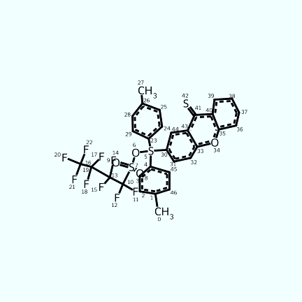 Cc1ccc(S(OS(=O)(=O)C(F)(F)C(F)(F)C(F)(F)C(F)(F)F)(c2ccc(C)cc2)c2ccc3oc4ccccc4c(=S)c3c2)cc1